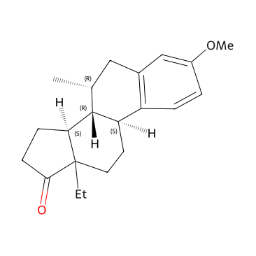 CCC12CC[C@@H]3c4ccc(OC)cc4C[C@@H](C)[C@H]3[C@@H]1CCC2=O